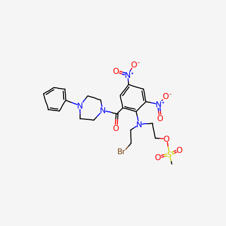 CS(=O)(=O)OCCN(CCBr)c1c(C(=O)N2CCN(c3ccccc3)CC2)cc([N+](=O)[O-])cc1[N+](=O)[O-]